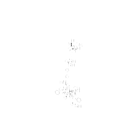 CC(=O)N[C@@H](Cc1ccccc1)C(=O)N[C@@H](CCC(=O)C=N)C(=O)N[C@@H](Cc1ccccc1)C(=O)NCC(=O)NCCOCCOCCNC(=O)NCCCC[C@H]1SC[C@H]2NC(O)N[C@H]21